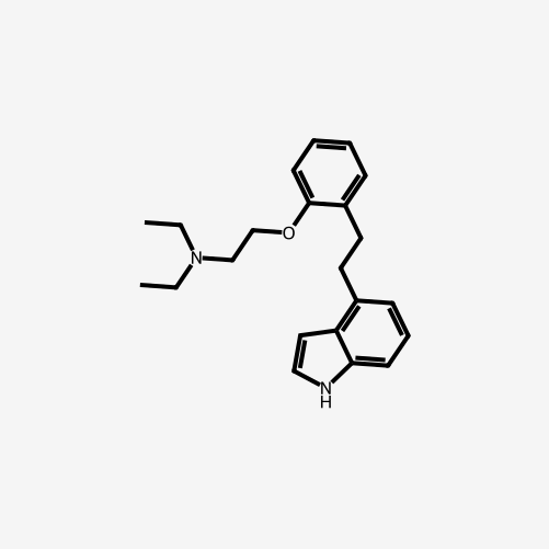 CCN(CC)CCOc1ccccc1CCc1cccc2[nH]ccc12